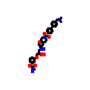 CNS(=O)(=O)c1cccc(OC[C@@H](O)CN[C@H]2COC3(CCN(S(=O)(=O)c4ccc(-c5ccc(CN(C)C)cc5)cc4)CC3)C2)c1